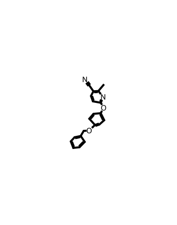 Cc1nc(Oc2ccc(OCc3ccccc3)cc2)ccc1C#N